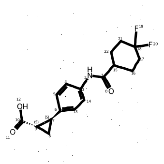 O=C(Nc1ccc([C@H]2C[C@@H]2C(=O)O)cc1)C1CCC(F)(F)CC1